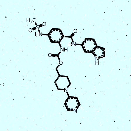 CS(=O)(=O)Nc1ccc(C(=O)Nc2ccc3cc[nH]c3c2)c(NC(=O)OCC2CCN(c3ccncc3)CC2)c1